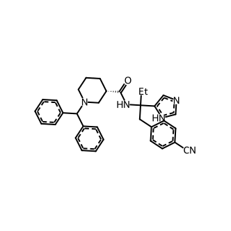 CCC(Cc1ccc(C#N)cc1)(NC(=O)[C@H]1CCCN(C(c2ccccc2)c2ccccc2)C1)c1cnc[nH]1